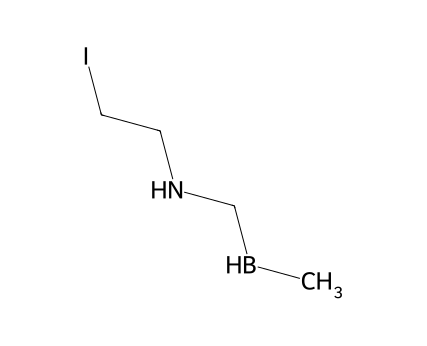 CBCNCCI